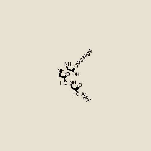 NCC(=O)O.NCC(=O)O.NCC(=O)O.[Ar].[Ar].[Ar].[Ar].[Ar].[Ar].[Ar].[Ar].[Ar]